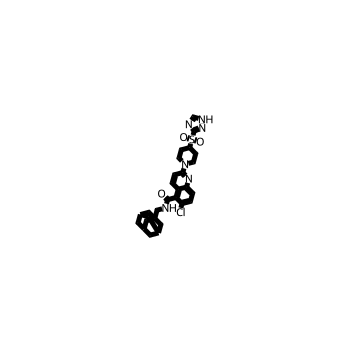 O=C(NCC12CC3CC(CC(C3)C1)C2)c1c(Cl)ccc2nc(N3CCC(S(=O)(=O)c4nc[nH]n4)CC3)ccc12